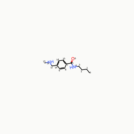 CCCCNC(=O)c1ccc(CNC)cc1